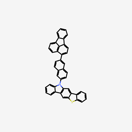 c1ccc2c(c1)-c1cccc3c(-c4ccc5cc(-n6c7ccccc7c7cc8sc9ccccc9c8cc76)ccc5c4)ccc-2c13